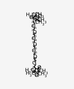 CC1(C)C(=O)C(CCOCCOCCOCCOCCOCCOCCOCCN2C(=O)C(C)(C)N(Cl)C2(C)C)C(C)(C)N1Cl